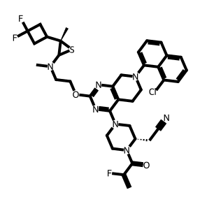 C=C(F)C(=O)N1CCN(c2nc(OCCN(C)C3S[C@@]3(C)C3CC(F)(F)C3)nc3c2CCN(c2cccc4cccc(Cl)c24)C3)C[C@@H]1CC#N